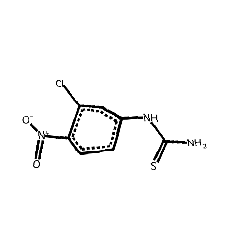 NC(=S)Nc1ccc([N+](=O)[O-])c(Cl)c1